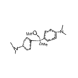 COC(OC)(c1ccc(N(C)C)cc1)c1ccc(N(C)C)cc1